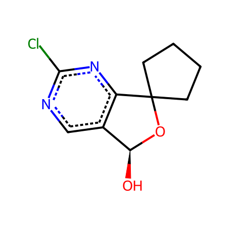 O[C@@H]1OC2(CCCC2)c2nc(Cl)ncc21